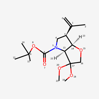 C=C(C)[C@@H]1CN(C(=O)OC(C)(C)C)[C@H]2[C@@H]1OCC2(OC)OC